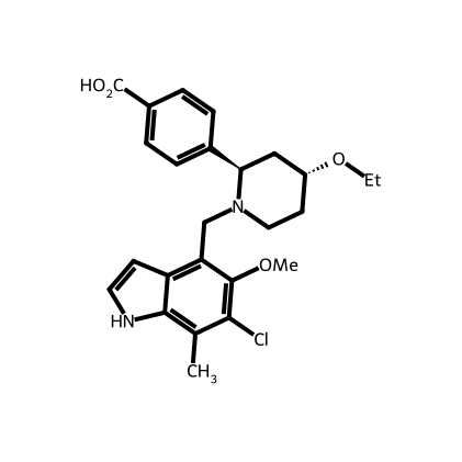 CCO[C@@H]1CCN(Cc2c(OC)c(Cl)c(C)c3[nH]ccc23)[C@@H](c2ccc(C(=O)O)cc2)C1